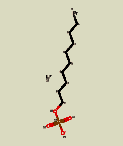 CC(C)CCCCCCCCCOS(=O)(=O)[O-].[Li+]